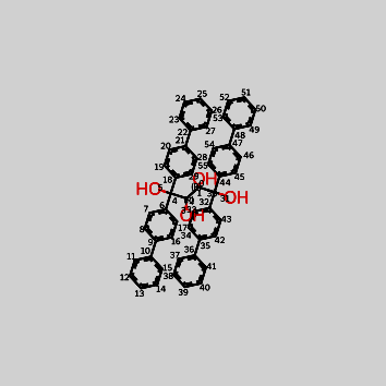 O[C@H]([C@@H](O)C(O)(c1ccc(-c2ccccc2)cc1)c1ccc(-c2ccccc2)cc1)C(O)(c1ccc(-c2ccccc2)cc1)c1ccc(-c2ccccc2)cc1